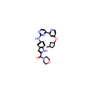 CC1CCC(Oc2ccnc(-c3ccnc(Nc4ccc5[nH]c(C(=O)N6CCOCC6)cc5c4)n3)c2)C1